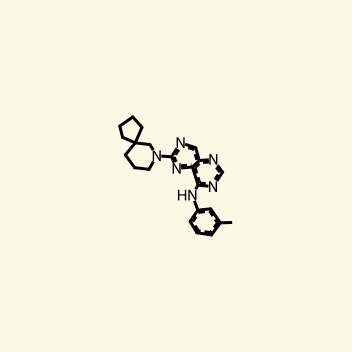 Cc1cccc(Nc2ncnc3cnc(N4CCCC5(CCCC5)C4)nc23)c1